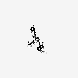 COc1cccc2c(CC[C@@H]3CC[C@@H](NC/C=C/c4cc(F)ccc4F)[C@@H](CC(=O)NCCO)O3)c(F)cnc12